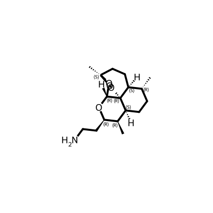 C[C@H]1[C@@H](CCN)O[C@@H]2O[C@]3(C)CC[C@H]4[C@H](C)CC[C@@H]1[C@@]24OO3